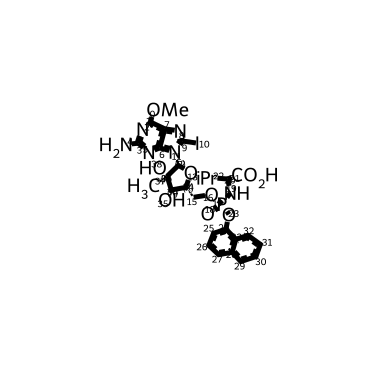 COc1nc(N)nc2c1nc(I)n2[C@@H]1O[C@H](COP(=O)(NC(C(=O)O)C(C)C)Oc2cccc3ccccc23)[C@@H](O)[C@@]1(C)O